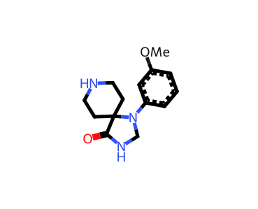 COc1cccc(N2CNC(=O)C23CCNCC3)c1